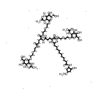 COC1CC(O)C(NC(=O)CCCCCCCCCCC(=O)NC(CCC(=O)NC(CCC(=O)NCCOCCOC2OC(CO)C(O)C(O)C2NC(C)=O)C(=O)NCCOCCOC2O[C@H](CO)C(O)C(O)C2NC(C)=O)C(=O)NCCOCCOC2OC(CO)C(O)C(O)C2NC(C)=O)C1